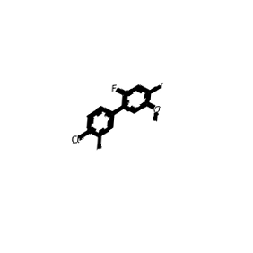 COc1cc(-c2ccc(Cl)c(C)c2)c(F)cc1I